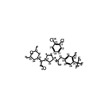 CC1CN(C(C=O)N2C[C@H](c3ccc(Cl)c(Cl)c3)[C@H](N(C)Cc3ccc(C(F)(F)F)c(F)c3)C2)CC(C)O1